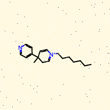 CCCCCCC[N+]1=CCC(C)(c2ccncc2)C=C1